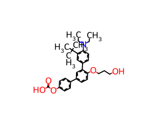 CCN(CC)c1ccc(-c2cc(-c3ccc(OC(=O)O)cc3)ccc2OCCCO)cc1C(C)(C)C